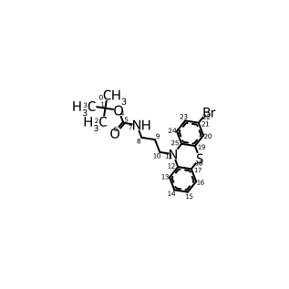 CC(C)(C)OC(=O)NCCCN1c2ccccc2Sc2cc(Br)ccc21